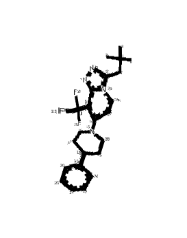 CC(C)(C)Cc1nnc2c(C(F)(F)F)c(N3CCC(c4ccccc4)CC3)ccn12